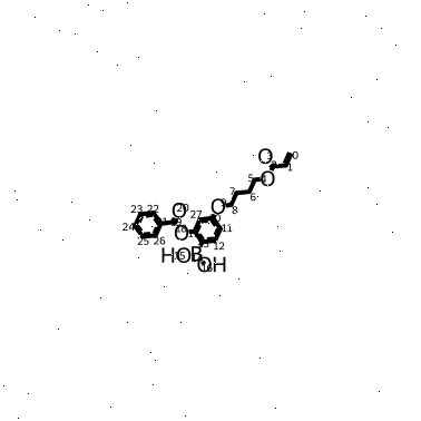 C=CC(=O)OCCCCOc1ccc(B(O)O)c(OC(=O)c2ccccc2)c1